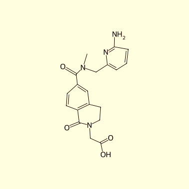 CN(Cc1cccc(N)n1)C(=O)c1ccc2c(c1)CCN(CC(=O)O)C2=O